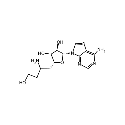 Nc1ncnc2c1ncn2[C@@H]1O[C@H](CC(N)CCO)[C@@H](O)[C@H]1O